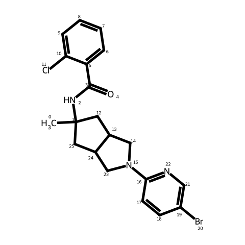 CC1(NC(=O)c2ccccc2Cl)CC2CN(c3ccc(Br)cn3)CC2C1